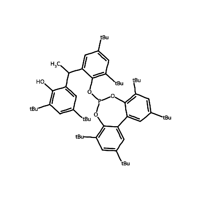 CC(c1cc(C(C)(C)C)cc(C(C)(C)C)c1O)c1cc(C(C)(C)C)cc(C(C)(C)C)c1Op1oc2c(C(C)(C)C)cc(C(C)(C)C)cc2c2cc(C(C)(C)C)cc(C(C)(C)C)c2o1